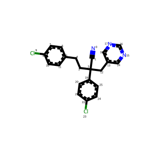 N#CC(CCc1ccc(Cl)cc1)(Cc1cncnc1)c1ccc(Cl)cc1